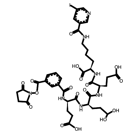 O=C(O)CC[C@@H](NC(=O)c1cccc(C(=O)ON2C(=O)CCC2=O)c1)C(=O)N[C@H](CCC(O)O)C(=O)N[C@H](CCC(=O)O)C(=O)N[C@H](CCCCNC(=O)c1cncc(I)c1)C(=O)O